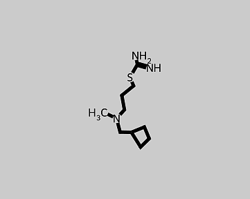 CN(CCCSC(=N)N)CC1CCC1